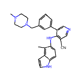 Cc1c(Nc2c(C#N)cncc2-c2cccc(CN3CCN(C)CC3)c2)ccc2[nH]ccc12